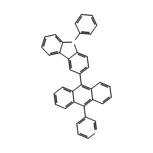 c1ccc(-n2c3ccccc3c3cc(-c4c5ccccc5c(-c5cccnc5)c5ccccc45)ccc32)cc1